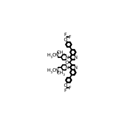 CN(C)CC1CCN(c2c(C(=O)c3cnc4ccc(-c5ccc(OC(F)F)cc5)cc4c3N3CCC(CN(C)C)CC3)cnc3ccc(-c4ccc(OC(F)F)cc4)cc23)CC1